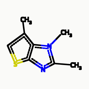 Cc1csc2nc(C)n(C)c12